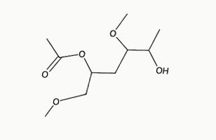 COCC(CC(OC)C(C)O)OC(C)=O